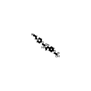 CC(NC(=O)COC1CCN(CCC#N)CC1)C(=O)c1ccc(OCC(=O)O)cc1